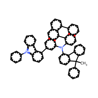 CC1(c2ccccc2)c2ccccc2-c2c(N(c3cccc(-c4cccc5c4c4ccccc4n5-c4ccccc4)c3)c3ccccc3-c3cccc4cccc(-c5ccccc5)c34)cccc21